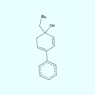 CCC(C)CC1(O)C=CC(c2ccccc2)=CC1